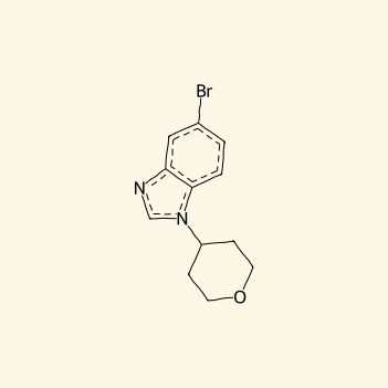 Brc1ccc2c(c1)ncn2C1CCOCC1